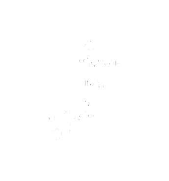 O=C(O)CC(CNC(=O)c1cccs1)C(=O)NC1CCN(C(=O)/C=C/C2=Cc3ccsc3C(Cl)C2Cl)CC1